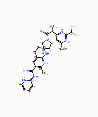 COc1cc(C(C)C(=O)N2CC[C@@]3(CCc4cc(C(=N)/N=c5/cccc[nH]5)c(C)nc4N3)C2)nc(C(F)F)n1